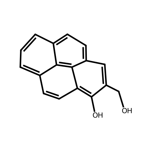 OCc1cc2ccc3cccc4ccc(c1O)c2c34